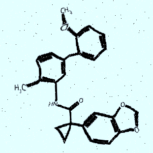 COc1ccccc1-c1ccc(C)c(NC(=O)C2(c3ccc4c(c3)OCO4)CC2)c1